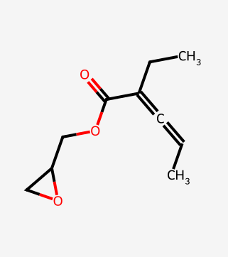 CC=C=C(CC)C(=O)OCC1CO1